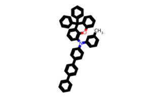 Cc1cccc(N(c2ccc(-c3ccc(-c4ccccc4)cc3)cc2)c2cccc3c2Oc2ccccc2C3(c2ccccc2)c2ccccc2)c1